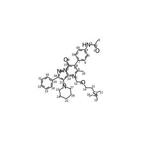 CC(=O)Nc1ccc(-c2c(C)n(COCC[Si](C)(C)C)c3c(N4CCCCC4)c(-c4ccccc4)nn3c2=O)cc1